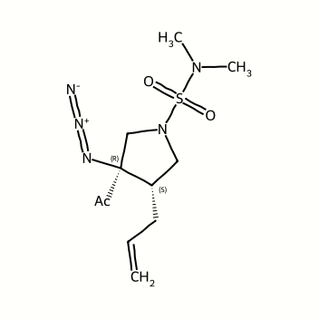 C=CC[C@H]1CN(S(=O)(=O)N(C)C)C[C@@]1(N=[N+]=[N-])C(C)=O